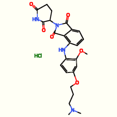 COc1cc(OCCCN(C)C)ccc1Nc1cccc2c1C(=O)N(C1CCC(=O)NC1=O)C2=O.Cl